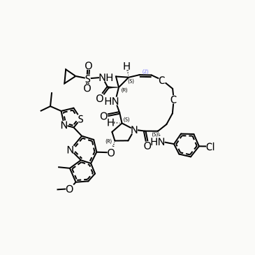 COc1ccc2c(O[C@@H]3C[C@H]4C(=O)N[C@]5(C(=O)NS(=O)(=O)C6CC6)C[C@H]5/C=C\CCCCC[C@H](Nc5ccc(Cl)cc5)C(=O)N4C3)cc(-c3nc(C(C)C)cs3)nc2c1C